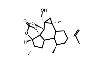 C=C(C)[C@H]1CC2C(C3C[C@H](C)[C@@H]4OC(=O)O[C@]34[C@H](O)[C@@]3(CO)C[C@@H]23)[C@H](C)C1